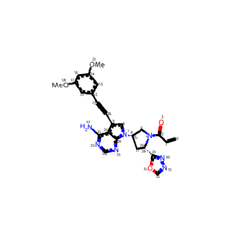 C=CC(=O)N1C[C@@H](n2cc(C#Cc3cc(OC)cc(OC)c3)c3c(N)ncnc32)C[C@H]1c1nnco1